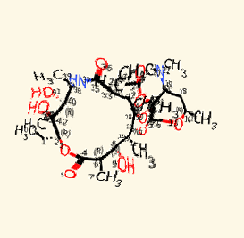 CC[C@H]1OC(=O)[C@H](C)[C@@H](O)[C@H](C)[C@@H](O[C@@H]2O[C@H](C)C[C@H](N(C)C)[C@@H]2OC(C)=O)[C@](C)(OC)C[C@@H](C)C(=O)N[C@H](C)[C@@H](O)[C@]1(C)O